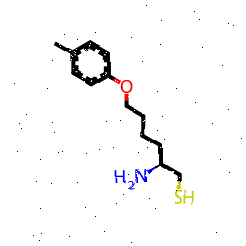 Cc1ccc(OCCCC[C@H](N)CS)cc1